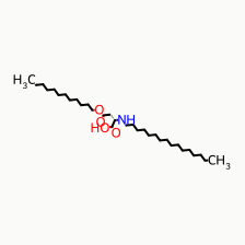 CCCCCCCCCCCCCCCCN[C@@H](CC(=O)OCCCCCCCCCCCC)C(=O)O